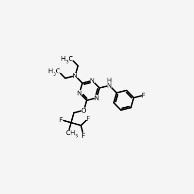 CCN(CC)c1nc(Nc2cccc(F)c2)nc(OCC(C)(F)C(F)F)n1